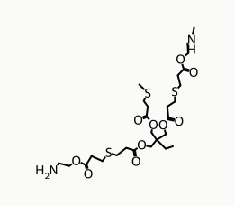 CCC(COC(=O)CCSC)(COC(=O)CCSCCC(=O)OCCN)COC(=O)CCSCCC(=O)OCCNC